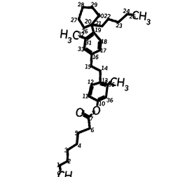 CCCCCCCC(=O)Oc1ccc(CCc2ccc(C3(CCCCC)CCCCC3)c(C)c2)c(C)c1